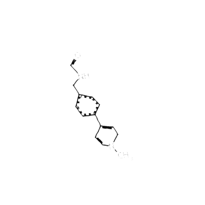 CN1C=CC(c2ccc(CNC=O)cc2)=CC1